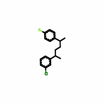 CC(CCC(C)c1cccc(Cl)c1)c1ccc(F)cc1